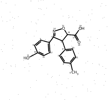 Cc1ccc(C2C(c3ccc(O)cc3)=NOC2C(=O)O)cc1